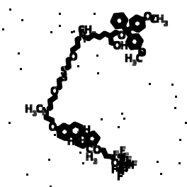 COc1ccc(C(OCC(CO)CCCCN(C)CCCOCCSSCCOCCCN(C)CCOc2ccc3c(c2)CC[C@@H]2[C@@H]3CC[C@]3(C)[C@@H](OCCCOC(C(F)(F)F)(C(F)(F)F)C(F)(F)F)CC[C@@H]23)(c2ccccc2)c2ccc(OC)cc2)cc1